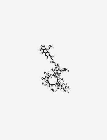 CC[C@H]1OC(=O)[C@H](C)[C@@H](O[C@H]2C[C@@](C)(OC)[C@@H](OS(=O)(=O)CCNCCNc3nc4c(cc3F)c(=O)c(C(=O)O)cn4CC)[C@H](C)O2)[C@H](C)[C@@H](O[C@@H]2O[C@H](C)C[C@H](N(C)C)[C@H]2O)[C@](C)(O)C[C@@H](C)C(=O)[C@H](C)[C@H]2OC(=O)O[C@@]21C